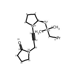 CC(C)C[Si](C)(C)O[C@@H]1CCCN1C#CCN1CCCC1=O